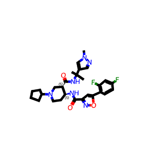 Cn1cc(C(C)(C)NC(=O)[C@H]2CN(C3CCCC3)CC[C@@H]2NC(=O)c2cc(-c3ccc(F)cc3F)on2)cn1